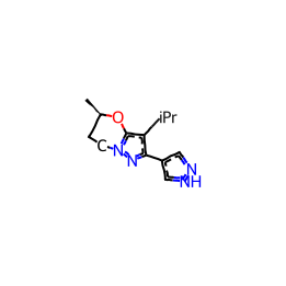 CC(C)c1c(-c2cn[nH]c2)nn2c1O[C@H](C)CC2